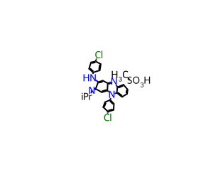 CC(C)/N=c1\cc2n(-c3ccc(Cl)cc3)c3ccccc3nc-2cc1Nc1ccc(Cl)cc1.CS(=O)(=O)O